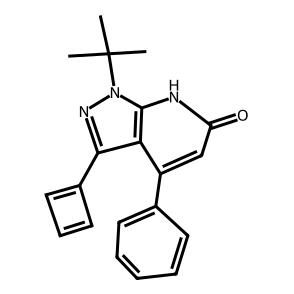 CC(C)(C)n1nc(C2=CC=C2)c2c(-c3ccccc3)cc(=O)[nH]c21